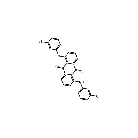 O=C1c2cccc(Nc3cccc(Cl)c3)c2C(=O)c2cccc(Nc3cccc(Cl)c3)c21